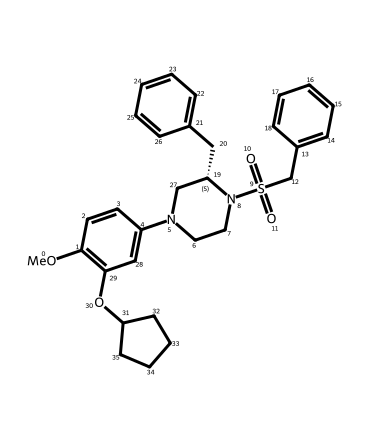 COc1ccc(N2CCN(S(=O)(=O)Cc3ccccc3)[C@@H](Cc3ccccc3)C2)cc1OC1CCCC1